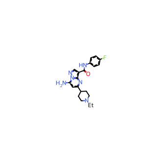 CCN1CCC(c2cc(N)n3ncc(C(=O)Nc4ccc(F)cc4)c3n2)CC1